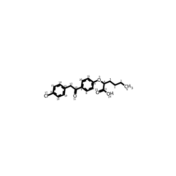 CCCCC(Oc1ccc(C(=O)Cc2ccc(Cl)cc2)cc1)C(=O)O